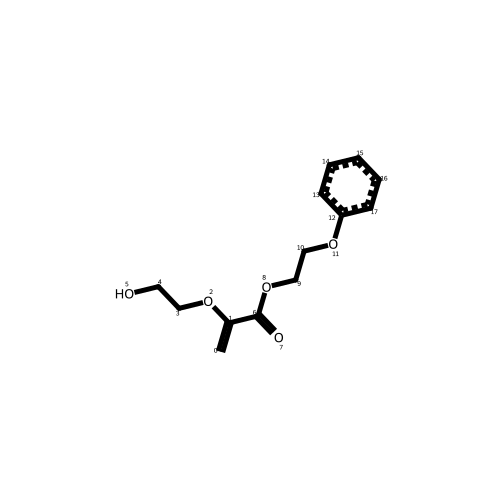 C=C(OCCO)C(=O)OCCOc1ccccc1